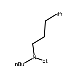 CCCCN(CC)CCCC(C)C